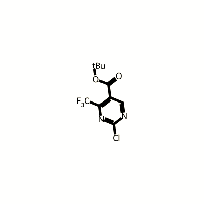 CC(C)(C)OC(=O)c1cnc(Cl)nc1C(F)(F)F